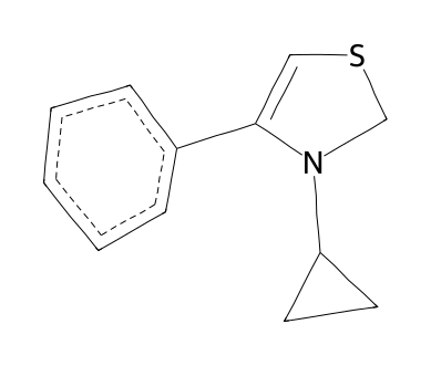 C1=C(c2ccccc2)N(C2CC2)CS1